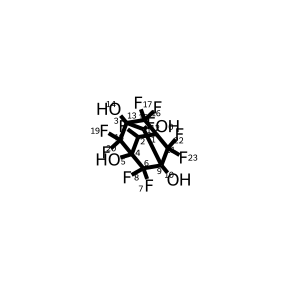 OC12C(F)C3(O)C(F)(F)C(O)(C(F)C(O)(C1(F)F)C3(F)F)C2(F)F